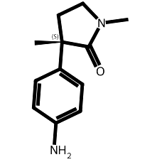 CN1CC[C@@](C)(c2ccc(N)cc2)C1=O